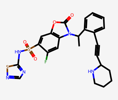 CC(c1ccccc1C#CC1CCCCN1)n1c(=O)oc2cc(S(=O)(=O)Nc3ncns3)c(F)cc21